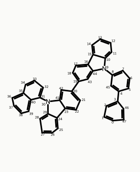 c1ccc(-c2cccc(-n3c4ccccc4c4ccc(-c5ccc6c7ccccc7n(-c7cccc8ccccc78)c6c5)cc43)c2)cc1